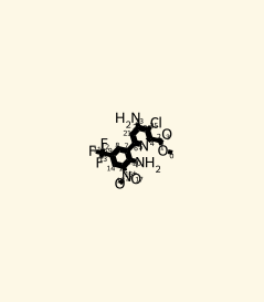 COC(=O)c1nc(-c2cc(C(F)(F)F)cc([N+](=O)[O-])c2N)cc(N)c1Cl